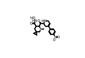 CN1CC2(CC2)CC(C(=O)NO)C1C(=O)C1CC(c2ccc([N+](=O)[O-])cc2)=CCN1